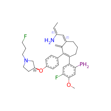 C=C1C(c2ccc(O[C@H]3CCN(CCCF)C3)cc2)=C(c2cc(F)c(OC)cc2P)CCC/C1=C/C(N)=C\C